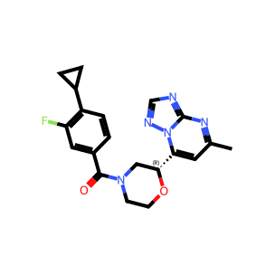 Cc1cc([C@H]2CN(C(=O)c3ccc(C4CC4)c(F)c3)CCO2)n2ncnc2n1